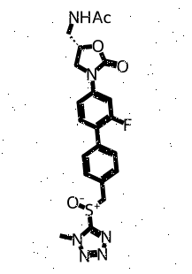 CC(=O)NC[C@H]1CN(c2ccc(-c3ccc(C[S+]([O-])c4nnnn4C)cc3)c(F)c2)C(=O)O1